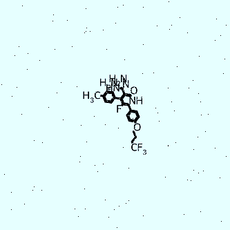 Cc1ccc(-c2c(F)c(-c3ccc(OCCCC(F)(F)F)cc3)[nH]c(=O)c2/C(=N/N)NN)cc1